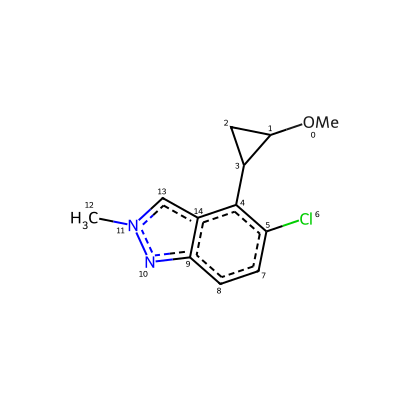 COC1CC1c1c(Cl)ccc2nn(C)cc12